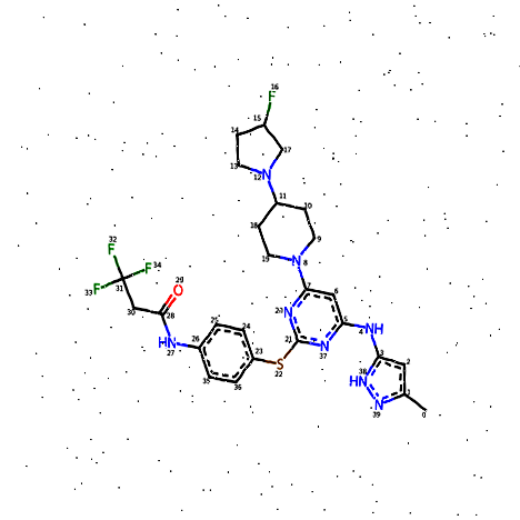 Cc1cc(Nc2cc(N3CCC(N4CCC(F)C4)CC3)nc(Sc3ccc(NC(=O)CC(F)(F)F)cc3)n2)[nH]n1